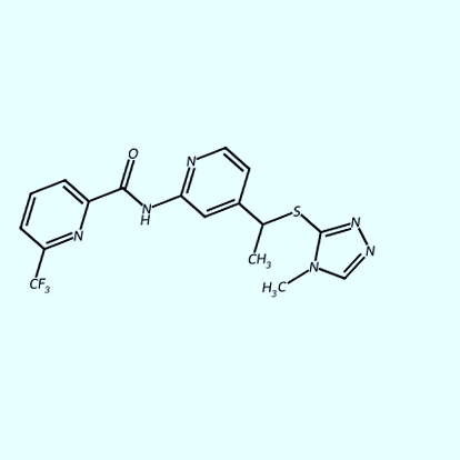 CC(Sc1nncn1C)c1ccnc(NC(=O)c2cccc(C(F)(F)F)n2)c1